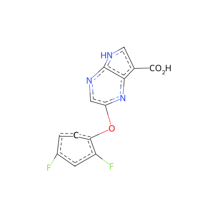 O=C(O)c1c[nH]c2ncc(Oc3ccc(F)cc3F)nc12